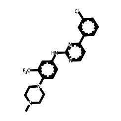 CN1CCN(c2ccc(Nc3nccc(-c4cccc(Cl)c4)n3)cc2C(F)(F)F)CC1